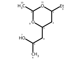 CCC1CC(CC(C)O)OC(C)O1